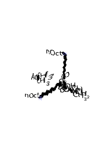 CC(=O)N(C)C.CCCCCCCC/C=C\CCCCCCCC(=O)OC[C@H](COP(=O)(O)OCC[N+](C)(C)C)OC(=O)CCCCCCC/C=C\CCCCCCCC